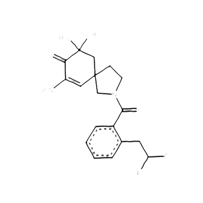 CC1(C)CC2(C=C(N)C1=O)CCN(C(=O)c1ccccc1CC(F)F)C2